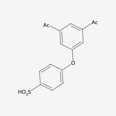 CC(=O)c1cc(Oc2ccc(S(=O)(=O)O)cc2)cc(C(C)=O)c1